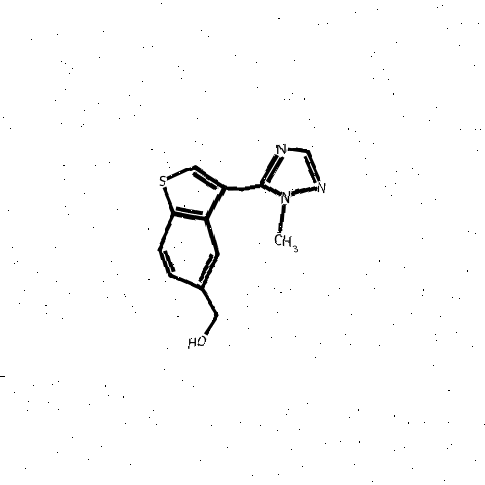 Cn1ncnc1-c1csc2ccc(CO)cc12